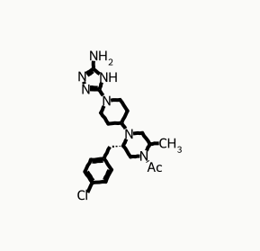 CC(=O)N1C[C@H](Cc2ccc(Cl)cc2)N(C2CCN(c3nnc(N)[nH]3)CC2)CC1C